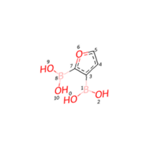 OB(O)c1ccoc1B(O)O